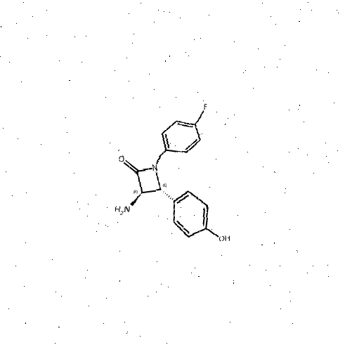 N[C@H]1C(=O)N(c2ccc(F)cc2)[C@@H]1c1ccc(O)cc1